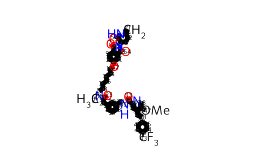 C=C1CCC(N2C(=O)c3ccc(OCCCCCCCN(C)C(=O)Cc4cccc(CNC(=O)c5cc(/C=C/[C@H]6CC[C@H](C(F)(F)F)CC6)c(OC)cn5)c4)cc3C2=O)C(=O)N1